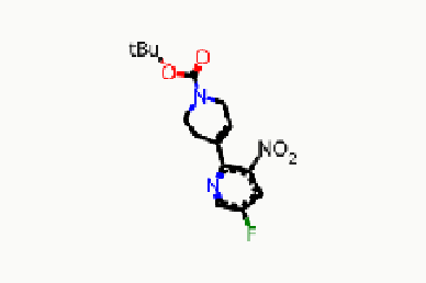 CC(C)(C)OC(=O)N1CC=C(c2ncc(F)cc2[N+](=O)[O-])CC1